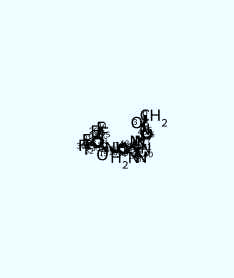 C=CC(=O)N1CCCC(n2nc(-c3ccc(CNC(=O)c4cc(C(F)(F)F)cc(C(F)(F)F)c4)cc3)c3c(N)ncnc32)C1